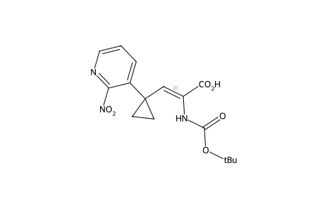 CC(C)(C)OC(=O)N/C(=C\C1(c2cccnc2[N+](=O)[O-])CC1)C(=O)O